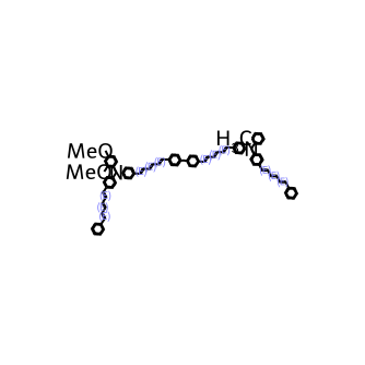 COc1ccc(N(c2ccc(/C=C/C=C/C=C/c3ccccc3)cc2)c2ccc(/C=C/C=C/C=C/c3ccc(-c4ccc(/C=C/C=C/C=C/c5ccc(N(c6ccc(/C=C/C=C/C=C/c7ccccc7)cc6)c6ccccc6C)cc5)cc4)cc3)cc2)c(OC)c1